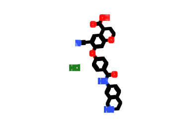 Cl.N#Cc1cc2c(cc1Oc1ccc(C(=O)Nc3ccc4c(c3)CNCC4)cc1)OCCC2C(=O)O